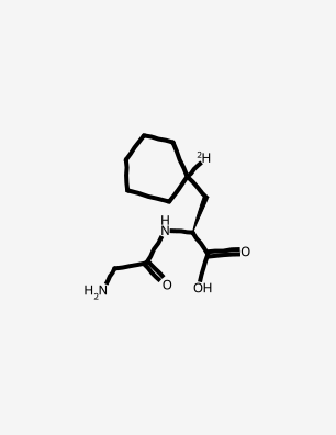 [2H]C1(C[C@H](NC(=O)CN)C(=O)O)CCCCC1